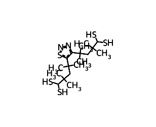 CC(C)(CC(C)(C)C(S)S)c1nnsc1C(C)(C)CC(C)(C)C(S)S